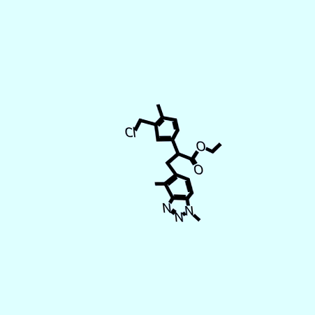 CCOC(=O)C(Cc1ccc2c(nnn2C)c1C)c1ccc(C)c(CCl)c1